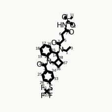 CCN(C(=O)CCC(=O)NS(C)(=O)=O)C1c2ccccc2N(C(=O)c2ccc(SC(F)(F)F)cc2)C2CCC12